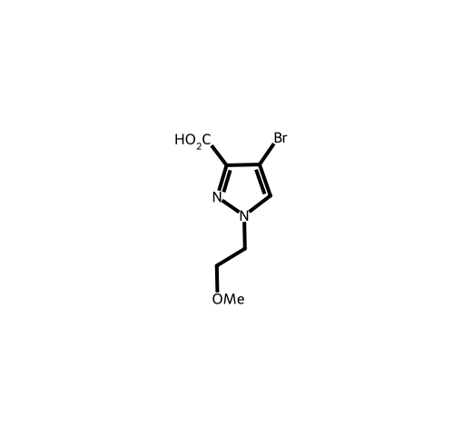 COCCn1cc(Br)c(C(=O)O)n1